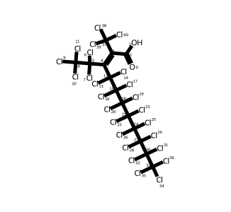 O=C(O)C(=C(C(Cl)(Cl)C(Cl)(Cl)Cl)C(Cl)(Cl)C(Cl)(Cl)C(Cl)(Cl)C(Cl)(Cl)C(Cl)(Cl)C(Cl)(Cl)C(Cl)(Cl)C(Cl)(Cl)Cl)C(Cl)(Cl)Cl